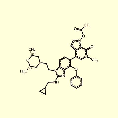 C[C@@H]1CN(CCn2c(NCC3CC3)nc3c(Oc4ccccc4)c(-c4cn(C)c(=O)c5c4ccn5OC(=O)C(F)(F)F)ccc32)C[C@H](C)O1